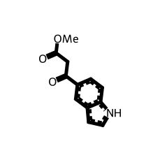 COC(=O)CC(=O)c1ccc2[nH]ccc2c1